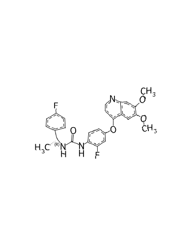 COc1cc2nccc(Oc3ccc(NC(=O)N[C@H](C)c4ccc(F)cc4)c(F)c3)c2cc1OC